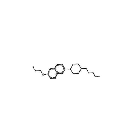 CCCCC[C@H]1CC[C@H](c2ccc3cc(OCCC)ccc3c2)CC1